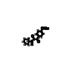 COc1ccc(C(=O)C(=O)NC2CCCCC2)cc1